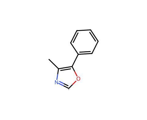 Cc1n[c]oc1-c1ccccc1